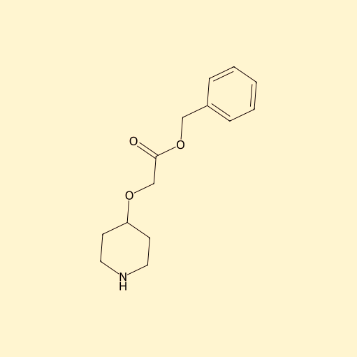 O=C(COC1CCNCC1)OCc1ccccc1